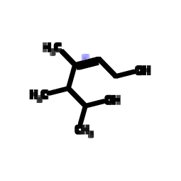 C/C(=C/CO)C(C)C(C)O